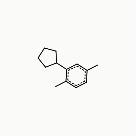 Cc1ccc(C)c(C2CCCC2)c1